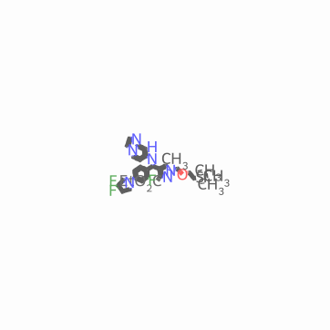 CCOC(=O)c1nn(COCC[Si](C)(C)C)c(C)c1C(Nc1ccn2ccnc2c1)c1ccc(N2CCC(F)(F)C2)cc1F